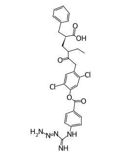 CCC(C[C@@H](Cc1ccccc1)C(=O)O)C(=O)Cc1cc(Cl)c(OC(=O)c2ccc(NC(=N)N=NN)cc2)cc1Cl